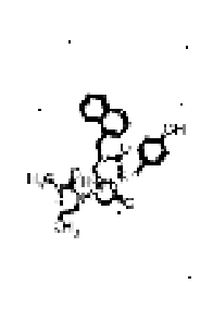 CCCN(C(=O)NC)N1CC(=O)N2[C@@H](Cc3ccc(O)cc3)C(=O)N(Cc3cccc4ccccc34)C[C@@H]21